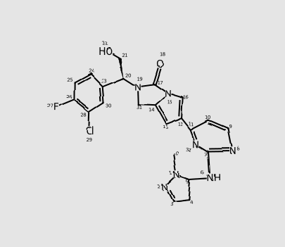 CN1N=CCC1Nc1nccc(-c2cc3n(c2)C(=O)N([C@H](CO)c2ccc(F)c(Cl)c2)C3)n1